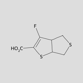 O=C(O)C1=C(F)C2CSCC2S1